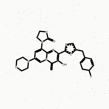 C=C1C(O)=C(c2ncc(CC3=CCC(F)C=C3)s2)N=C2C(N3CCOC3=O)=CC(N3CCOCC3)=CN12